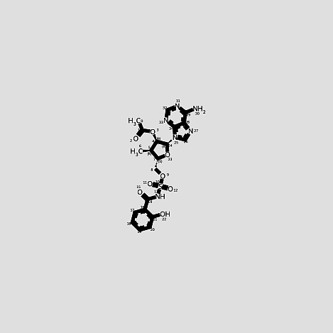 CC(=O)O[C@@H]1[C@H](C)[C@@H](COS(=O)(=O)NC(=O)c2ccccc2O)O[C@H]1n1cnc2c(N)ncnc21